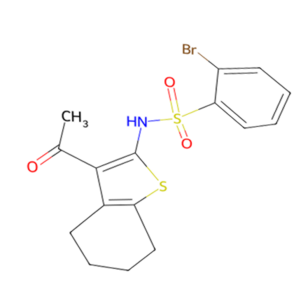 CC(=O)c1c(NS(=O)(=O)c2ccccc2Br)sc2c1CCCC2